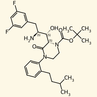 CC(C)CCc1ccccc1N1CCN(C(=O)OC(C)(C)C)[C@@H]([C@@H](O)[C@@H](N)Cc2cc(F)cc(F)c2)C1=O